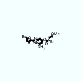 CCN(CCOC)C(=O)Oc1cc(N)n2nc(-c3ccc(Br)o3)nc2c1